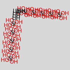 O[Si](O)(O)O.O[Si](O)(O)O.O[Si](O)(O)O.O[Si](O)(O)O.O[Si](O)(O)O.O[Si](O)(O)O.O[Si](O)(O)O.O[Si](O)(O)O.O[Si](O)(O)O.O[Si](O)(O)O.[LiH].[LiH].[LiH].[LiH].[LiH].[LiH]